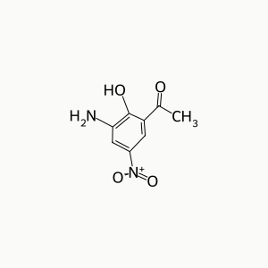 CC(=O)c1cc([N+](=O)[O-])cc(N)c1O